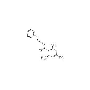 CC1=CC(C)C(C(=O)OCCc2ccccc2)C(C)C1